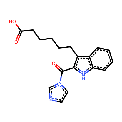 O=C(O)CCCCCc1c(C(=O)n2ccnc2)[nH]c2ccccc12